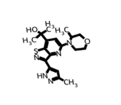 Cc1cc(-c2nsc3c(C(C)(C)O)cc(N4CCOCC4C)nc23)[nH]n1